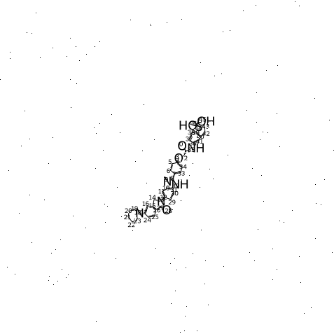 O=C(COc1ccc(-c2nc3cc(N4Cc5cc(N6CCCCC6)ccc5C4=O)ccc3[nH]2)cc1)Nc1ccc2c(c1)CCS2(O)O